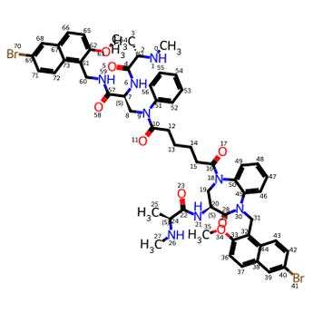 CN[C@@H](C)C(=O)N[C@@H](CN(C(=O)CCCCC(=O)N1C[C@H](NC(=O)[C@H](C)NC)C(=O)N(Cc2c(OC)ccc3cc(Br)ccc23)c2ccccc21)c1ccccc1)C(=O)NCc1c(OC)ccc2cc(Br)ccc12